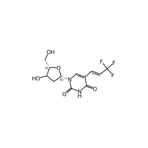 O=c1[nH]c(=O)n([C@@H]2CC(O)[C@H](CO)O2)cc1C=CC(F)(F)F